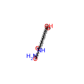 N[C@H](C=O)CCCCNC(=O)CCCCCCCCCCCCCCCCC(=O)O